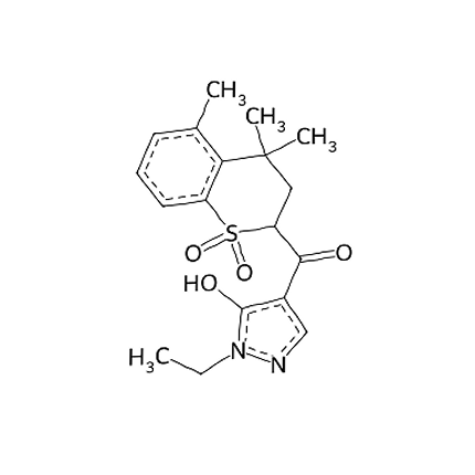 CCn1ncc(C(=O)C2CC(C)(C)c3c(C)cccc3S2(=O)=O)c1O